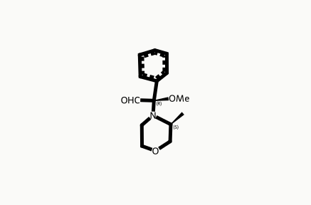 CO[C@@](C=O)(c1ccccc1)N1CCOC[C@@H]1C